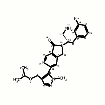 CC(C)OCc1cnn(C)c1-c1cc2c(cn1)C(=O)N([C@H](CN)Cc1cccc(F)c1)C2